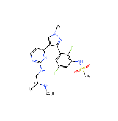 CC(C)n1cc(-c2ccnc(NC[C@H](C)NC(=O)O)n2)c(-c2cc(F)cc(NS(C)(=O)=O)c2F)n1